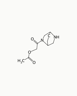 CC(=O)OCC(=O)N1CC2CCC1CN2